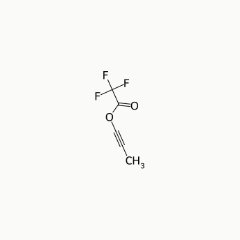 CC#COC(=O)C(F)(F)F